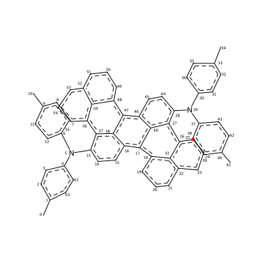 Cc1ccc(N(c2ccc(C)cc2)c2ccc3c4c5cccc6cccc(c7c(N(c8ccc(C)cc8)c8ccc(C)cc8)ccc(c8c9cccc%10cccc(c2c38)c%109)c74)c65)cc1